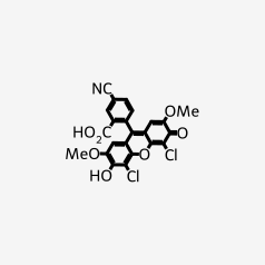 COc1cc2c(-c3ccc(C#N)cc3C(=O)O)c3cc(OC)c(=O)c(Cl)c-3oc2c(Cl)c1O